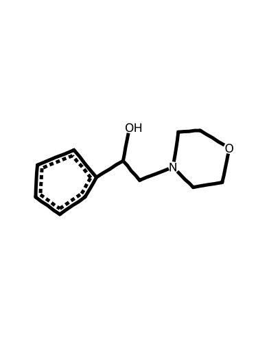 OC(CN1CCOCC1)c1ccccc1